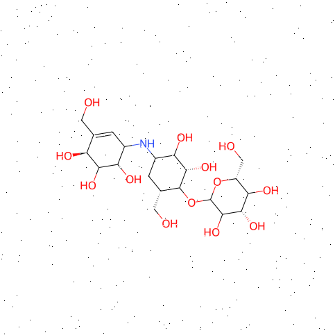 OCC1=CC(NC2C[C@@H](CO)C(OC3O[C@H](CO)C(O)[C@H](O)C3O)[C@@H](O)C2O)C(O)C(O)[C@H]1O